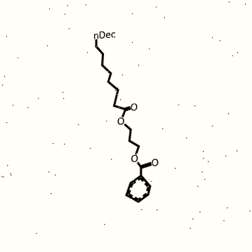 CCCCCCCCCCCCCCCCCC(=O)OCCCOC(=O)c1ccccc1